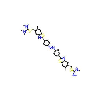 Cc1cc2sc(-c3ccc(/N=N/c4ccc(-c5nc6cc(C[S+]=C(N(C)C)N(C)C)c(C)cc6s5)cc4)cc3)nc2cc1C[S+]=C(N(C)C)N(C)C